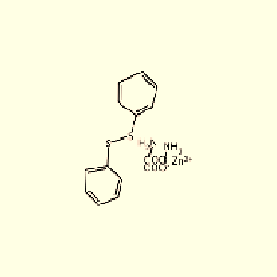 NC(=O)[O-].NC(=O)[O-].[Zn+2].c1ccc(SSc2ccccc2)cc1